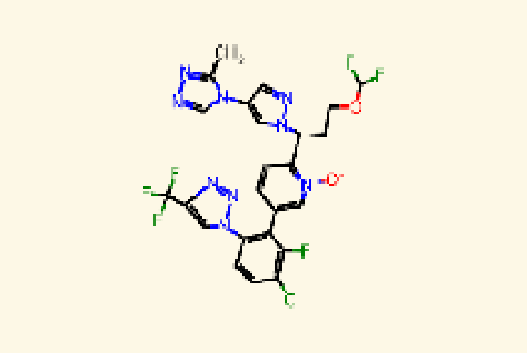 Cc1nncn1-c1cnn([C@@H](CCOC(F)F)c2ccc(-c3c(-n4cc(C(F)(F)F)nn4)ccc(Cl)c3F)c[n+]2[O-])c1